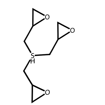 C1OC1C[SH](CC1CO1)CC1CO1